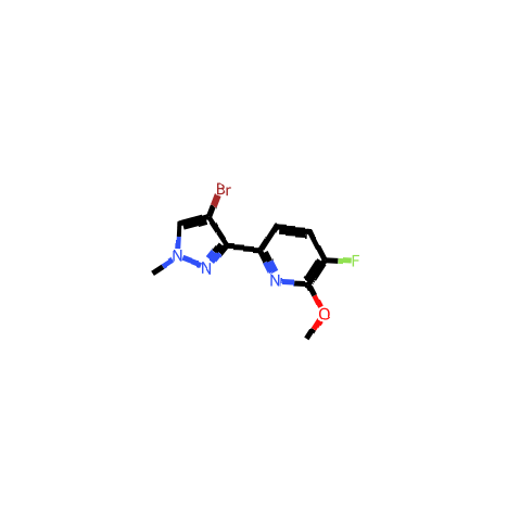 COc1nc(-c2nn(C)cc2Br)ccc1F